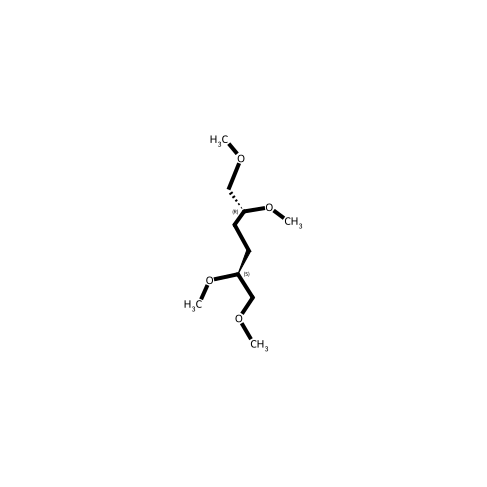 COC[C@@H](CC[C@@H](COC)OC)OC